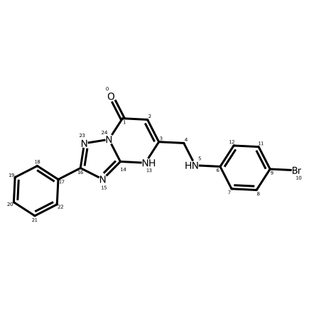 O=c1cc(CNc2ccc(Br)cc2)[nH]c2nc(-c3ccccc3)nn12